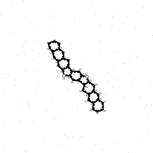 c1ccc2cc3cc4c(cc3cc2c1)oc1cc2c(cc14)oc1cc3cc4ccccc4cc3cc12